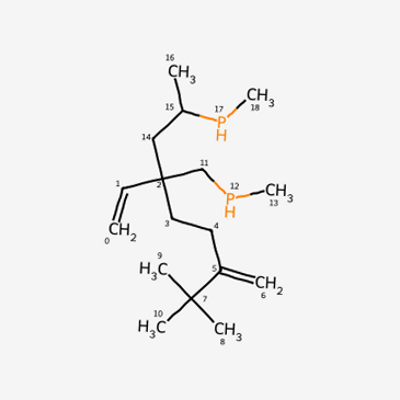 C=CC(CCC(=C)C(C)(C)C)(CPC)CC(C)PC